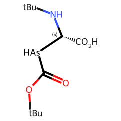 CC(C)(C)N[C@@H]([AsH]C(=O)OC(C)(C)C)C(=O)O